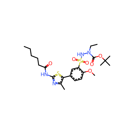 CCCCCC(=O)Nc1nc(C)c(-c2ccc(OC)c(S(=O)(=O)NN(CC)C(=O)OC(C)(C)C)c2)s1